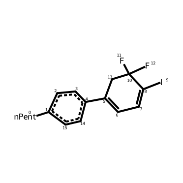 CCCCCc1ccc(C2=CC=C(I)C(F)(F)C2)cc1